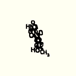 CCC(Oc1ccc2c(c1)C(=O)N(C1CCC(=O)NC1=O)C2=O)C(=O)O